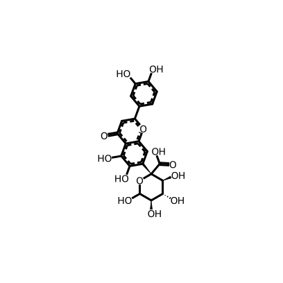 O=C(O)[C@@]1(c2cc3oc(-c4ccc(O)c(O)c4)cc(=O)c3c(O)c2O)OC(O)[C@H](O)[C@@H](O)[C@@H]1O